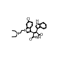 CCN(CC)CCn1cc(C2=C(c3c[nH]c4ccccc34)C(=O)NC2=O)c2ccc(Cl)cc21